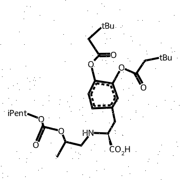 CCCC(C)OC(=O)OC(C)CN[C@@H](Cc1ccc(OC(=O)CC(C)(C)C)c(OC(=O)CC(C)(C)C)c1)C(=O)O